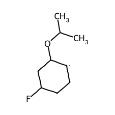 CC(C)OC1[CH]CCC(F)C1